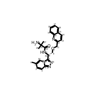 Cc1ccc2nnc([C@@H](COCc3ccc4ccccc4n3)NC(=O)C(C)(C)N)n2c1